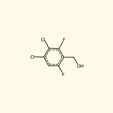 OCc1c(F)cc(Cl)c(Cl)c1F